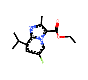 CCOC(=O)c1c(C)nc2c(C(C)C)cc(F)cn12